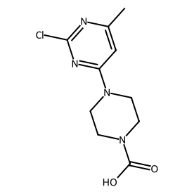 Cc1cc(N2CCN(C(=O)O)CC2)nc(Cl)n1